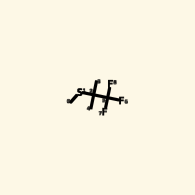 CSC(C)(C)C(F)(F)F